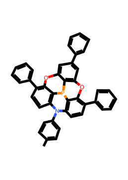 Cc1ccc(N2c3ccc(-c4ccccc4)c4c3P3c5c(cc(-c6ccccc6)cc5Oc5c(-c6ccccc6)ccc2c53)O4)cc1